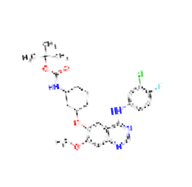 COc1cc2ncnc(Nc3ccc(F)c(Cl)c3)c2cc1OC1CCCC(NC(=O)OC(C)(C)C)C1